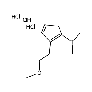 COCCC1=[C]([Ti]([CH3])[CH3])CC=C1.Cl.Cl.Cl